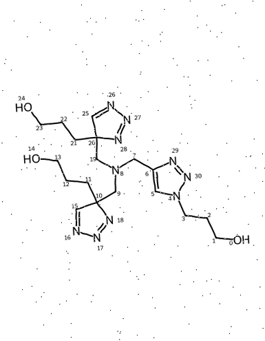 OCCCn1cc(CN(CC2(CCCO)C=NN=N2)CC2(CCCO)C=NN=N2)nn1